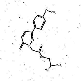 COc1ccc(-c2ccc(=O)n(CC(=O)NCC(C)C)n2)cc1